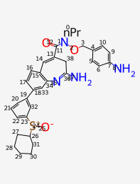 CCCN(OCc1ccc(N)cc1)C(=O)C1=Cc2ccc(-c3cccc([S+]([O-])C4CCCCC4)c3)cc2N=C(N)C1